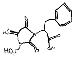 C=C1C(=O)N(C(Cc2ccccc2)C(=O)OC)C(=O)N1C(=O)O